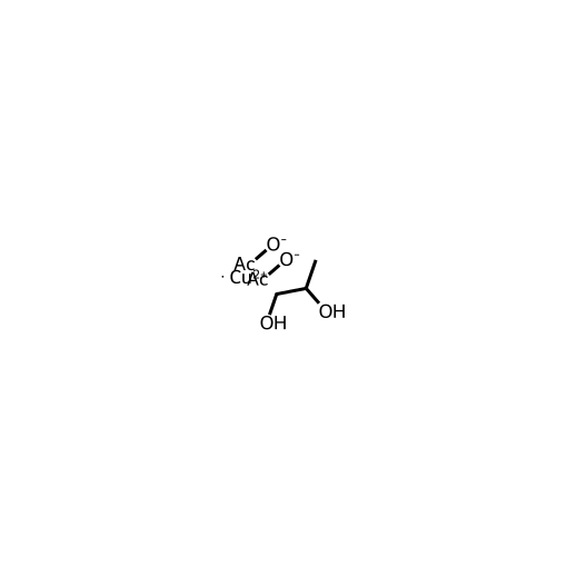 CC(=O)[O-].CC(=O)[O-].CC(O)CO.[Cu+2]